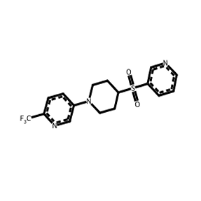 O=S(=O)(c1cccnc1)C1CCN(c2ccc(C(F)(F)F)nc2)CC1